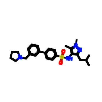 Cc1c(NS(=O)(=O)c2ccc(-c3cccc(CN4CCCC4)c3)cc2)c(CC(C)C)nn1C